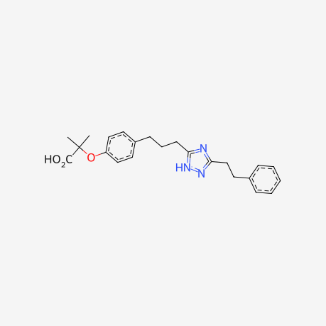 CC(C)(Oc1ccc(CCCc2nc(CCc3ccccc3)n[nH]2)cc1)C(=O)O